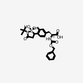 Cc1cc(C[C@H](NC(=O)OCc2ccccc2)C(=O)O)ccc1C1CC(=O)N(C(C)(C)C)S1(O)O